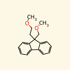 COCCC1(COC)c2ccccc2-c2ccccc21